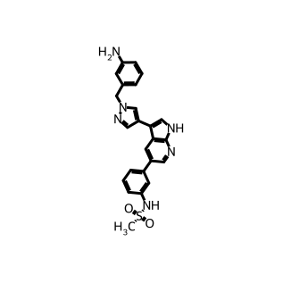 CS(=O)(=O)Nc1cccc(-c2cnc3[nH]cc(-c4cnn(Cc5cccc(N)c5)c4)c3c2)c1